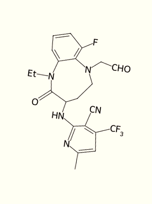 CCN1C(=O)C(Nc2nc(C)cc(C(F)(F)F)c2C#N)CCN(CC=O)c2c(F)cccc21